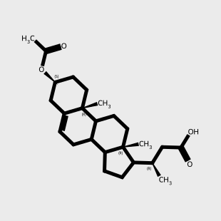 CC(=O)O[C@H]1CC[C@@]2(C)C(=CCC3C4CCC([C@H](C)CC(=O)O)[C@@]4(C)CCC32)C1